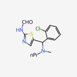 CCCN(C)C(c1cnc(NC=O)s1)c1ccccc1Cl